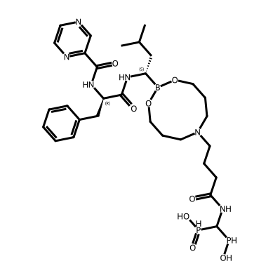 CC(C)C[C@@H](NC(=O)[C@@H](Cc1ccccc1)NC(=O)c1cnccn1)B1OCCCN(CCCC(=O)NC(PO)[PH](=O)O)CCCO1